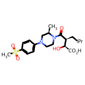 CC(C)C[C@H](C(=O)N1CCN(c2ccc(S(C)(=O)=O)cc2)C[C@H]1C)[C@H](O)C(=O)O